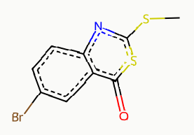 CSc1nc2ccc(Br)cc2c(=O)s1